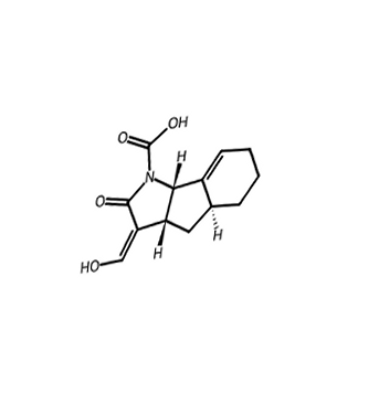 O=C(O)N1C(=O)/C(=C\O)[C@H]2C[C@@H]3CCCC=C3[C@H]21